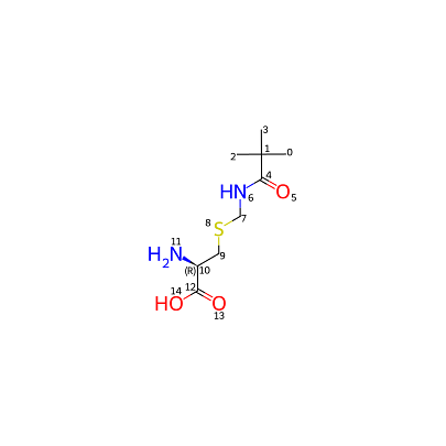 CC(C)(C)C(=O)NCSC[C@H](N)C(=O)O